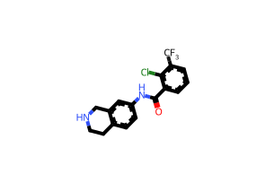 O=C(Nc1ccc2c(c1)CNCC2)c1cccc(C(F)(F)F)c1Cl